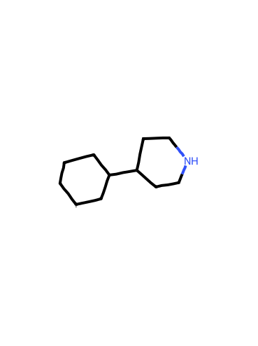 [CH]1CCCC(C2CCNCC2)C1